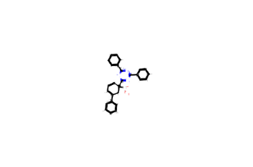 OB(O)C1(c2nc(-c3ccccc3)nc(-c3ccccc3)n2)C=CC=C(c2ccccc2)C1